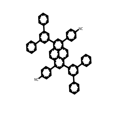 [C-]#[N+]c1ccc(-c2cc(-c3cc(-c4ccccc4)cc(-c4ccccc4)c3)c3ccc4c(-c5ccc(C#N)cc5)cc(-c5cc(-c6ccccc6)cc(-c6ccccc6)c5)c5ccc2c3c45)cc1